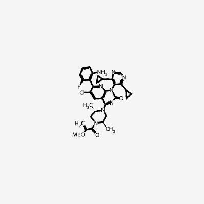 C=C(OC)C(=O)N1C[C@H](C)N(c2nc(=O)n(-c3c(C4CC4)ncnc3C3CC3)c3nc(-c4c(N)cccc4F)c(Cl)cc23)C[C@H]1C